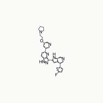 Fc1ccc(-c2cncc3[nH]c(-c4n[nH]c5ccc(-c6cncc(OCCN7CCCC7)c6)nc45)cc23)s1